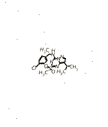 CC(C)c1cnn2c(N[C@@H](C)c3ccc(Cl)cc3)nc(S(C)(=O)=O)nc12